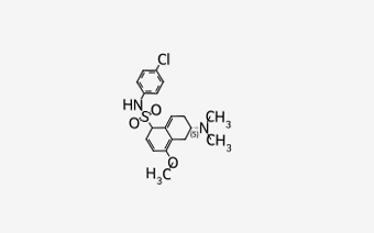 COC1=C2C[C@@H](N(C)C)CC=C2C(S(=O)(=O)Nc2ccc(Cl)cc2)C=C1